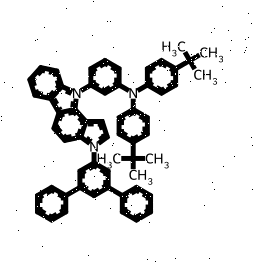 CC(C)(C)c1ccc(N(c2ccc(C(C)(C)C)cc2)c2cccc(-n3c4ccccc4c4ccc5c(ccn5-c5cc(-c6ccccc6)cc(-c6ccccc6)c5)c43)c2)cc1